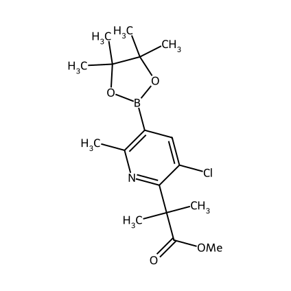 COC(=O)C(C)(C)c1nc(C)c(B2OC(C)(C)C(C)(C)O2)cc1Cl